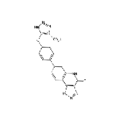 O=C(O)c1nn[nH]c1Oc1ccc(-c2ccc3c(c2)[nH]c(=O)c2nn[nH]c23)cc1